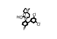 CN1CCCC1CCN(C(=O)O)c1ccc(F)cc1-c1cc(Cl)cc(Cl)c1